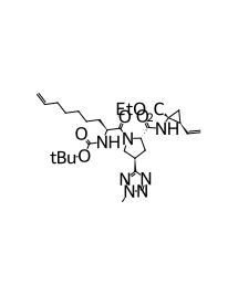 C=CCCCCC[C@H](NC(=O)OC(C)(C)C)C(=O)N1C[C@H](c2nnn(C)n2)C[C@H]1C(=O)N[C@]1(C(=O)OCC)C[C@H]1C=C